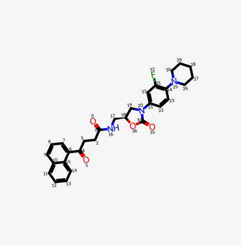 O=C(CCC(=O)c1cccc2ccccc12)NC[C@H]1CN(c2ccc(N3CCCCC3)c(F)c2)C(=O)O1